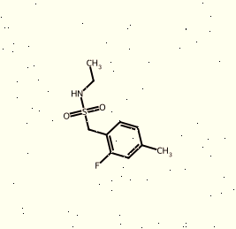 CCNS(=O)(=O)Cc1ccc(C)cc1F